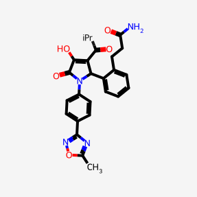 Cc1nc(-c2ccc(N3C(=O)C(O)=C(C(=O)C(C)C)C3c3ccccc3CCC(N)=O)cc2)no1